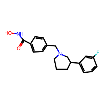 O=C(NO)c1ccc(CN2CCCC(c3cccc(F)c3)C2)cc1